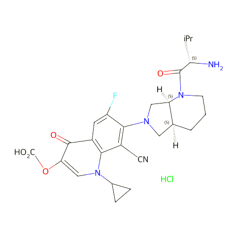 CC(C)[C@H](N)C(=O)N1CCC[C@H]2CN(c3c(F)cc4c(=O)c(OC(=O)O)cn(C5CC5)c4c3C#N)C[C@H]21.Cl